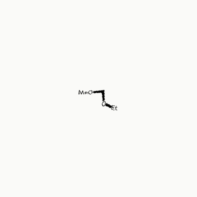 [CH]OCOCC